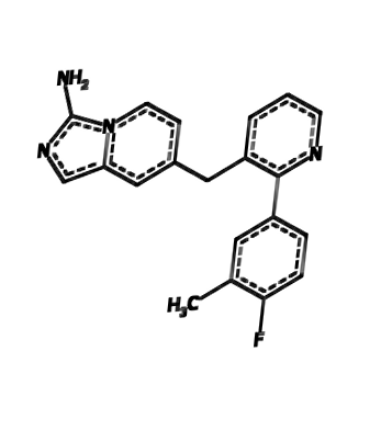 Cc1cc(-c2ncccc2Cc2ccn3c(N)ncc3c2)ccc1F